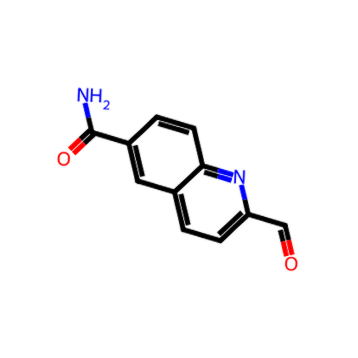 NC(=O)c1ccc2nc(C=O)ccc2c1